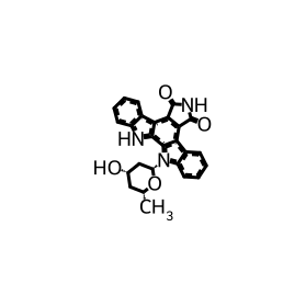 C[C@@H]1C[C@H](O)C[C@H](n2c3ccccc3c3c4c(c5c6ccccc6[nH]c5c32)C(=O)NC4=O)O1